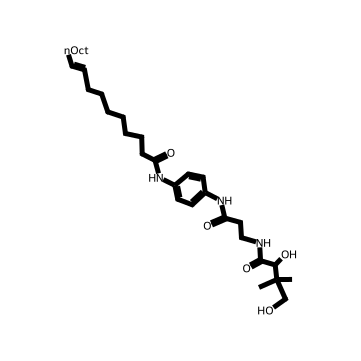 CCCCCCCCC=CCCCCCCCC(=O)Nc1ccc(NC(=O)CCNC(=O)C(O)C(C)(C)CO)cc1